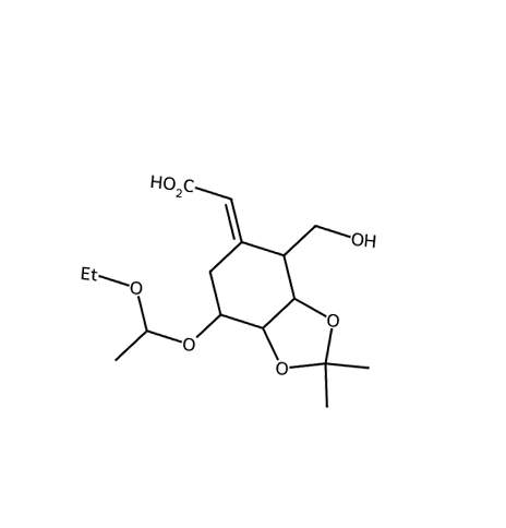 CCOC(C)OC1C/C(=C\C(=O)O)C(CO)C2OC(C)(C)OC12